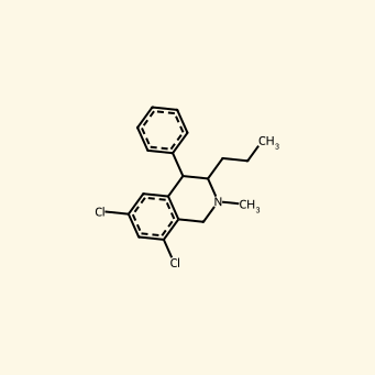 CCCC1C(c2ccccc2)c2cc(Cl)cc(Cl)c2CN1C